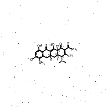 CN(C)[C@@H]1C(O)=C(C(N)=O)C(=O)[C@@]2(O)C(O)=C3C(=O)c4c(O)cc(Cl)c(N)c4C[C@H]3C[C@@H]12